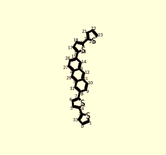 c1csc(-c2ccc(-c3ccc4cc5cc(-c6ccc(-c7cccs7)s6)ccc5cc4c3)s2)c1